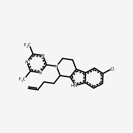 C=CCCC1c2[nH]c3ccc(Cl)cc3c2CCN1c1nc(C(F)(F)F)nc(C(F)(F)F)n1